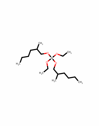 CCCCC(C)CO[Si](OCC)(OCC)OCC(C)CCCC